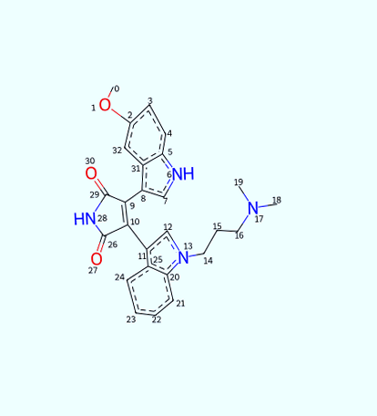 COc1ccc2[nH]cc(C3=C(c4cn(CCCN(C)C)c5ccccc45)C(=O)NC3=O)c2c1